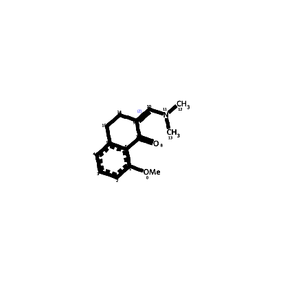 COc1cccc2c1C(=O)/C(=C\N(C)C)CC2